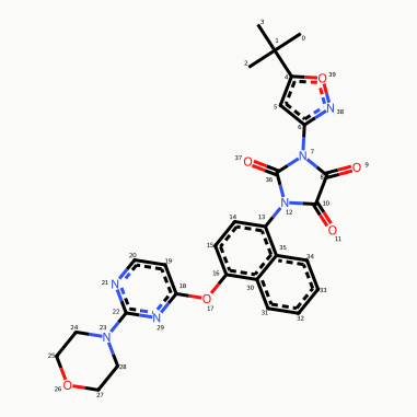 CC(C)(C)c1cc(N2C(=O)C(=O)N(c3ccc(Oc4ccnc(N5CCOCC5)n4)c4ccccc34)C2=O)no1